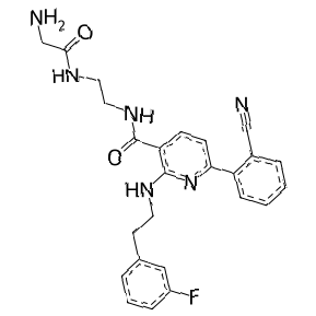 N#Cc1ccccc1-c1ccc(C(=O)NCCNC(=O)CN)c(NCCc2cccc(F)c2)n1